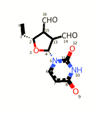 C=C[C@H]1O[C@@H](n2ccc(=O)[nH]c2=O)C(C=O)C1C=O